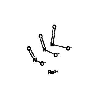 O=N[O-].O=N[O-].O=N[O-].[Re+3]